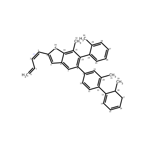 C=C/C=C\c1cc2cc(-c3ccc(C4=CC=CCC4C)c(C)c3)c(-c3ccccc3C)c(C)c2s1